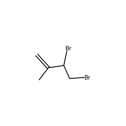 C=C(C)C(Br)CBr